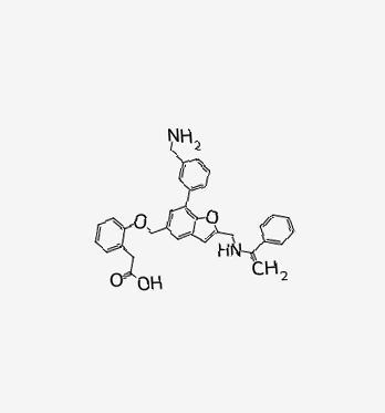 C=C(NCc1cc2cc(COc3ccccc3CC(=O)O)cc(-c3cccc(CN)c3)c2o1)c1ccccc1